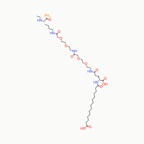 CCN[C@@H](CCCCNC(=O)COCCOCCNC(=O)COCCOCCNC(=O)CC[C@H](NC(=O)CCCCCCCCCCCCCC(=O)O)C(=O)O)C(=O)P